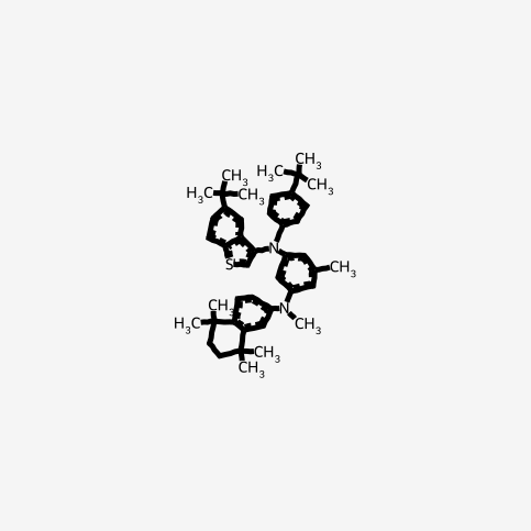 Cc1cc(N(C)c2ccc3c(c2)C(C)(C)CCC3(C)C)cc(N(c2ccc(C(C)(C)C)cc2)c2csc3ccc(C(C)(C)C)cc23)c1